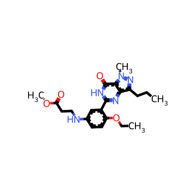 CCCc1nn(C)c2c(=O)[nH]c(-c3cc(NCCC(=O)OC)ccc3OCC)nc12